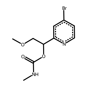 CNC(=O)OC(COC)c1cc(Br)ccn1